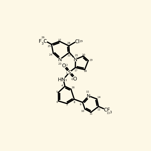 O=S(=O)(Nc1cccc(-c2ccc(C(F)(F)F)cn2)c1)c1cccn1-c1ncc(C(F)(F)F)cc1Cl